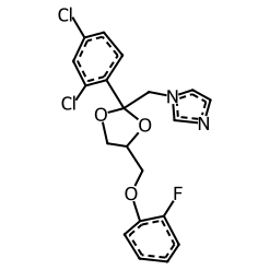 Fc1ccccc1OCC1COC(Cn2ccnc2)(c2ccc(Cl)cc2Cl)O1